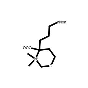 CCCCCCCCCCCCC1(C(=O)[O-])CCOC[N+]1(C)C